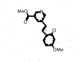 COC(=O)c1cncc(/C=C/c2ccc(OC)cc2Cl)c1